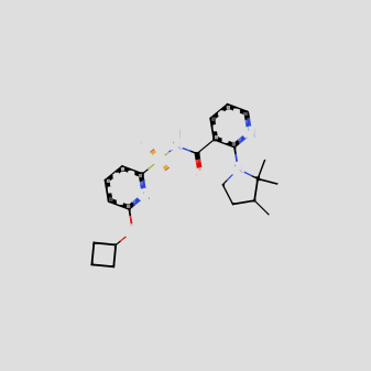 CC1CCN(c2ncccc2C(=O)NS(=O)(=O)c2cccc(OC3CCC3)n2)C1(C)C